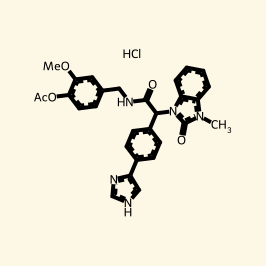 COc1cc(CNC(=O)C(c2ccc(-c3c[nH]cn3)cc2)n2c(=O)n(C)c3ccccc32)ccc1OC(C)=O.Cl